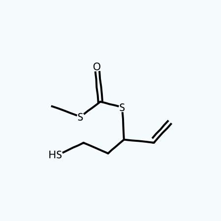 C=CC(CCS)SC(=O)SC